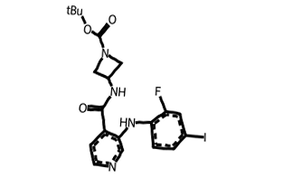 CC(C)(C)OC(=O)N1CC(NC(=O)c2ccncc2Nc2ccc(I)cc2F)C1